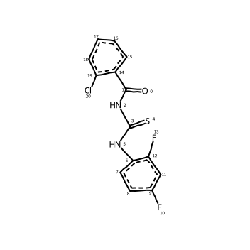 O=C(NC(=S)Nc1ccc(F)cc1F)c1ccccc1Cl